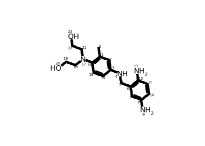 Cc1cc(NCc2cc(N)ccc2N)ccc1N(CCO)CCO